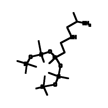 CC(N)CNCC[Si](C)(O[Si](C)(C)O[Si](C)(C)C)O[Si](C)(C)O[Si](C)(C)C